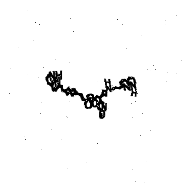 COc1ccc(C(CC(=O)OC(=O)CCC2CC3(C2)CC(CCc2ccc4c(n2)NCCC4)C3)C2CC(NCCCc3ccc4c(n3)NCCC4)C2)cn1